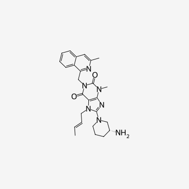 CC=CCn1c(N2CCC[C@@H](N)C2)nc2c1c(=O)n(Cc1nc(C)cc3ccccc13)c(=O)n2C